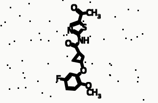 COc1ccc(F)cc1OC1CC(C(=O)Nc2ncc(C(C)=O)s2)C1